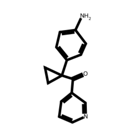 Nc1ccc(C2(C(=O)c3cccnc3)CC2)cc1